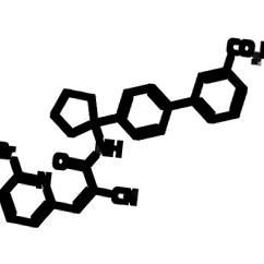 N#CC(=Cc1cccc(Br)n1)C(=O)NC1(c2ccc(-c3cccc(C(=O)O)c3)cc2)CCCC1